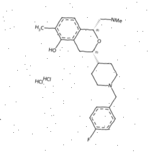 CNC[C@@H]1O[C@H](C2CCN(Cc3ccc(F)cc3)CC2)Cc2c1ccc(C)c2O.Cl.Cl